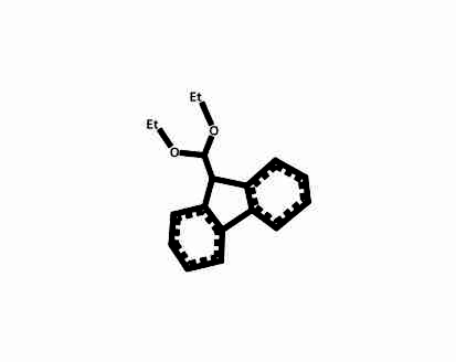 CCOC(OCC)C1c2ccccc2-c2ccccc21